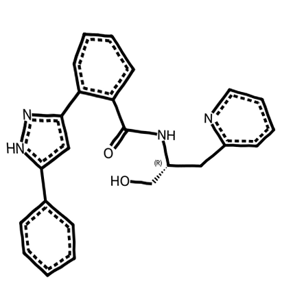 O=C(N[C@@H](CO)Cc1ccccn1)c1ccccc1-c1cc(-c2ccccc2)[nH]n1